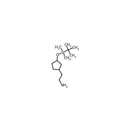 CC(C)(C)[Si](C)(C)OC1CCC(CCN)C1